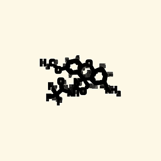 COc1ccc2c(c1)[C@]1(COC(NC(=O)C(F)(F)F)=N1)c1cc(N)ccc1O2